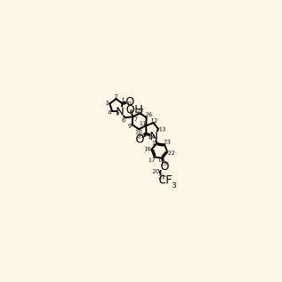 O=C1CCCN1CC1(O)CCC2(CCN(c3ccc(OCC(F)(F)F)cc3)C2=O)CC1